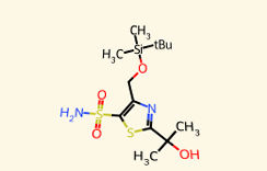 CC(C)(O)c1nc(CO[Si](C)(C)C(C)(C)C)c(S(N)(=O)=O)s1